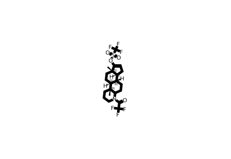 C[C@]12CCCN(C(=O)C(F)(F)F)C1CC[C@@H]1[C@@H]2CC[C@]2(C)C(OS(=O)(=O)C(F)(F)F)=CC[C@@H]12